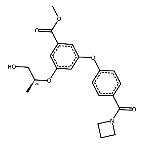 COC(=O)c1cc(Oc2ccc(C(=O)N3CCC3)cc2)cc(O[C@@H](C)CO)c1